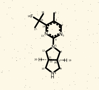 Cc1cnc(N2C[C@H]3CNC[C@H]3C2)nc1C(C)(C)F